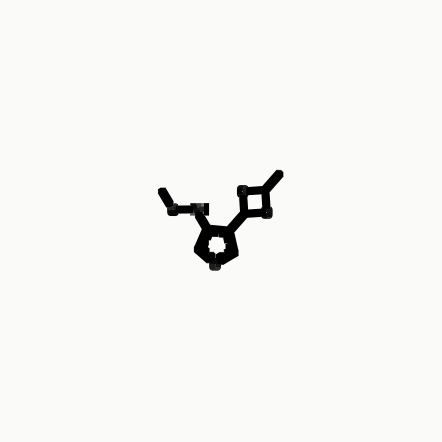 CONc1cocc1C1OC(C)O1